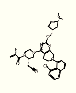 C=C(F)C(=O)N1CCN(c2nc(OC[C@@H]3CC[C@H](N(C)C)C3)nc3c2CCN(c2cccc4cccc(Cl)c24)C3)C[C@@H]1CC#N